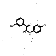 CC(Nc1ccc(Cl)cc1)C(=O)c1cccc(C#N)c1